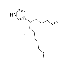 C=CCCCC(CCCCCCC)[n+]1cc[nH]c1.[I-]